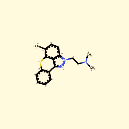 CN(C)CCn1nc2c3c(c([N+](=O)[O-])ccc31)Sc1ccccc1-2